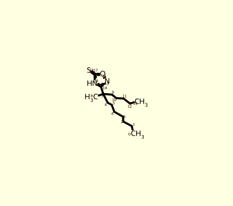 CCCCCCCC(C)(CCCCC)c1noc(=S)[nH]1